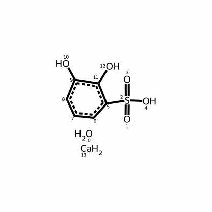 O.O=S(=O)(O)c1cccc(O)c1O.[CaH2]